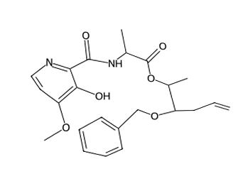 C=CCC(OCc1ccccc1)C(C)OC(=O)C(C)NC(=O)c1nccc(OC)c1O